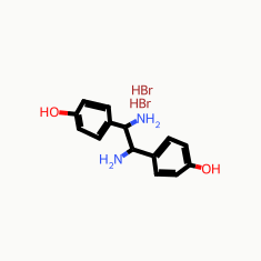 Br.Br.NC(c1ccc(O)cc1)C(N)c1ccc(O)cc1